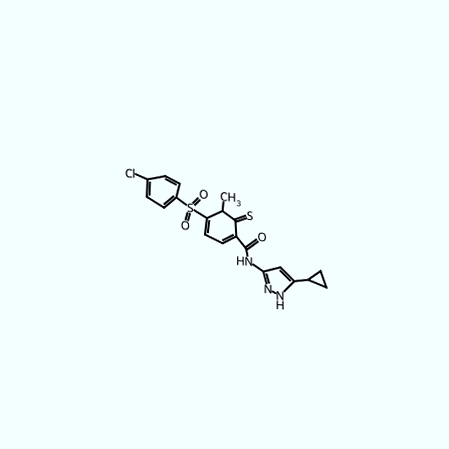 CC1C(=S)C(C(=O)Nc2cc(C3CC3)[nH]n2)=CC=C1S(=O)(=O)c1ccc(Cl)cc1